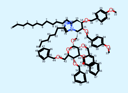 CCCCCCCCCCCCCC[C@@H](OCc1ccc(OC)cc1)[C@@H](OCc1ccc(OC)cc1)[C@H](CO[C@H]1OC(COCc2ccccc2)[C@H](OCc2ccccc2)[C@H](OCc2ccccc2)[C@H]1OCc1ccccc1)n1cc(CCCCCC)nn1